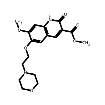 COC(=O)c1cc2cc(OCCN3CCOCC3)c(OC)cc2[nH]c1=O